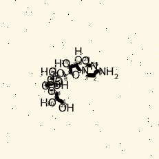 Nc1ccn([C@@H]2O[C@H](COP(=O)(O)OP(=O)(O)OCC(O)CO)[C@@H](O)[C@H]2O)c(=O)n1